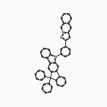 c1ccc(C2(c3ccccc3)c3ccccc3-c3cc4c(cc32)c2ccccc2n4-c2cccc(-c3cc4cc5ccccc5cn4n3)c2)cc1